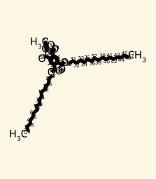 CCCCCCCCCCCCCCCCCCOC(=O)c1cc2c(cc1C(=O)OCCCCCCCCCCCCCCCCCC)C(=O)N(OC(C)=O)C2=O